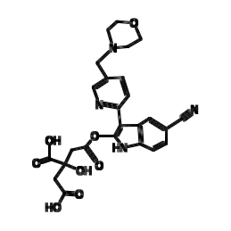 N#Cc1ccc2[nH]c(OC(=O)CC(O)(CC(=O)O)C(=O)O)c(-c3ccc(CN4CCOCC4)cn3)c2c1